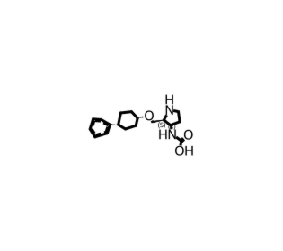 O=C(O)N[C@@H]1CCN[C@@H]1CO[C@H]1CC[C@@H](c2ccccc2)CC1